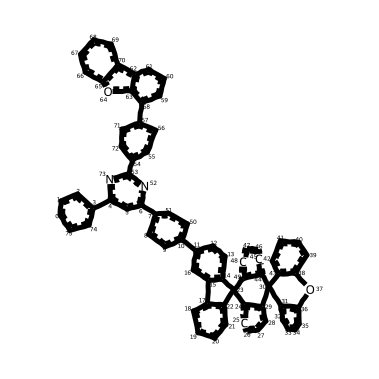 c1ccc(-c2cc(-c3ccc(-c4ccc5c(c4)-c4ccccc4C54c5ccccc5C5(c6ccccc6Oc6ccccc65)c5ccccc54)cc3)nc(-c3ccc(-c4cccc5c4oc4ccccc45)cc3)n2)cc1